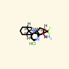 COC1(c2ccnc(C(N)=O)c2)[C@@H]2CCC[C@H]1CN(C1C[C@@H]3[C@H](C1)C3(F)F)C2.Cl